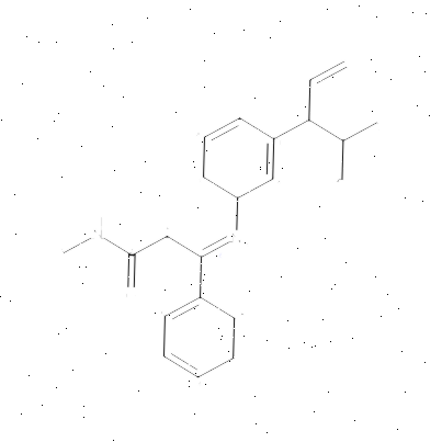 C=CC(C1=CC(/N=C(\CC(=O)NC)C2=CC=CCC2)CC=C1)C(C)C